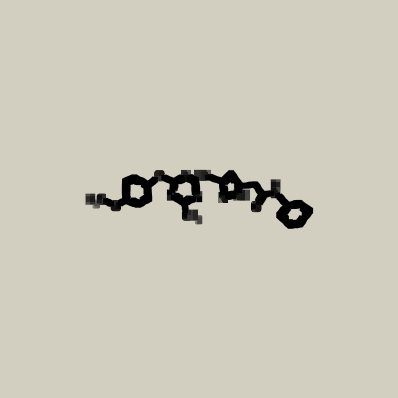 COc1ccc(Oc2nc(C)nc(Nc3cc(CC(=O)Nc4ccccc4)[nH]n3)n2)cc1